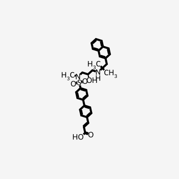 CN(C[C@H](O)CNC(C)(C)Cc1ccc2ccccc2c1)S(=O)(=O)c1ccc(-c2ccc(/C=C/C(=O)O)cc2)cc1